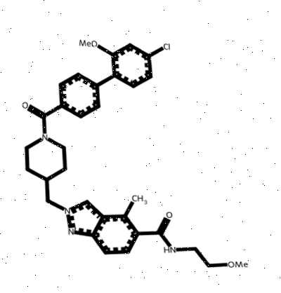 COCCNC(=O)c1ccc2nn(CC3CCN(C(=O)c4ccc(-c5ccc(Cl)cc5OC)cc4)CC3)cc2c1C